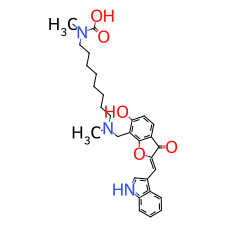 CN(CCCCCCCCN(C)C(=O)O)Cc1c(O)ccc2c1O/C(=C\c1c[nH]c3ccccc13)C2=O